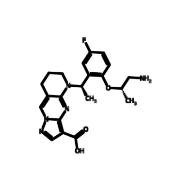 C[C@H](c1cc(F)ccc1O[C@@H](C)CN)N1CCCc2cn3ncc(C(=O)O)c3nc21